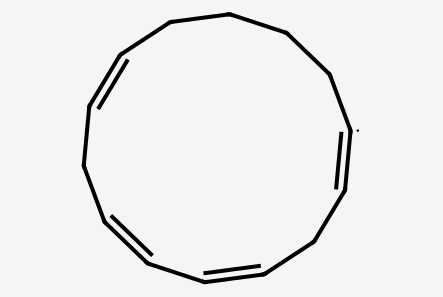 [C]1=CCC=CC=CCC=CCCCC1